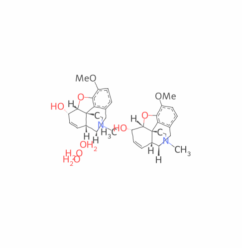 COc1ccc2c3c1O[C@H]1[C@@H](O)C=C[C@H]4[C@@H](C2)N(C)CC[C@@]341.COc1ccc2c3c1O[C@H]1[C@@H](O)C=C[C@H]4[C@@H](C2)N(C)CC[C@@]341.O.O.O